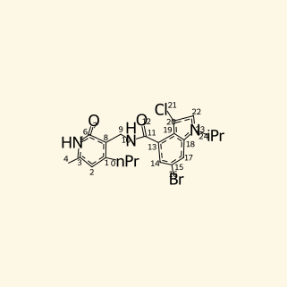 CCCc1cc(C)[nH]c(=O)c1CNC(=O)c1cc(Br)cc2c1c(Cl)cn2C(C)C